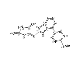 CSc1ncc(-c2cncc3cc(C=C4SC(=O)NC4=O)oc23)cn1